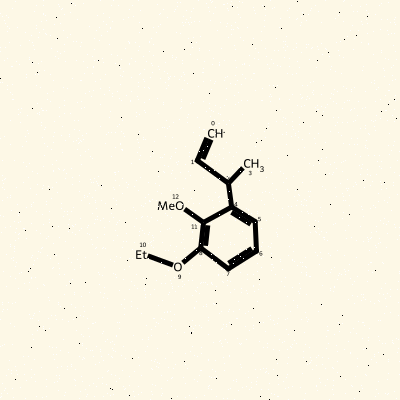 [CH]=CC(C)c1cccc(OCC)c1OC